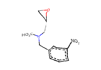 O=C(O)N(Cc1cccc([N+](=O)[O-])c1)C[C@@H]1CO1